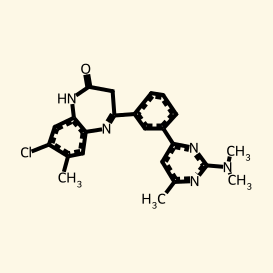 Cc1cc(-c2cccc(C3=Nc4cc(C)c(Cl)cc4NC(=O)C3)c2)nc(N(C)C)n1